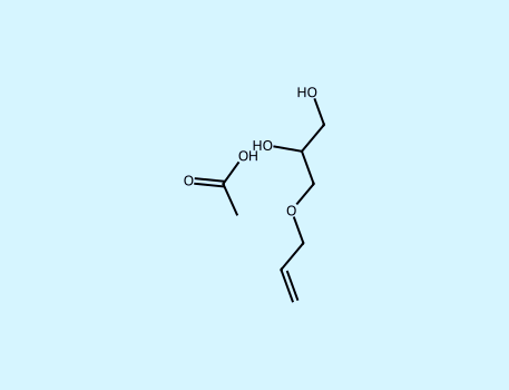 C=CCOCC(O)CO.CC(=O)O